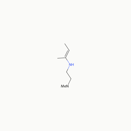 C/C=C(\C)NCCNC